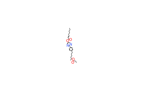 CCCCC/C=C/C(=O)Oc1cnc(-c2ccc(CCCCC(C)OC(=O)CC)cc2)nc1